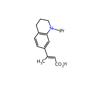 CC(=CC(=O)O)c1ccc2c(c1)N(C(C)C)CCC2